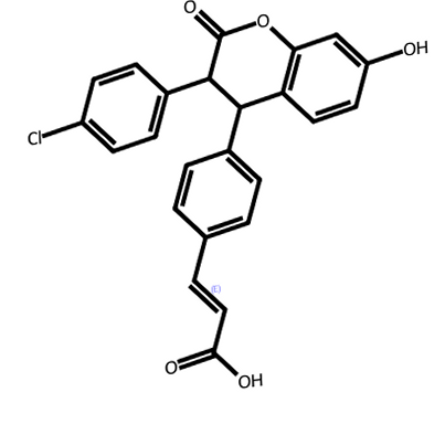 O=C(O)/C=C/c1ccc(C2c3ccc(O)cc3OC(=O)C2c2ccc(Cl)cc2)cc1